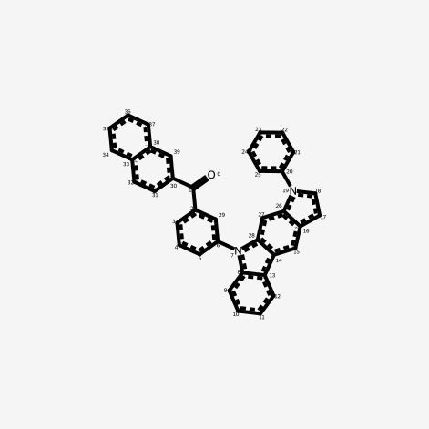 O=C(c1cccc(-n2c3ccccc3c3cc4ccn(-c5ccccc5)c4cc32)c1)c1ccc2ccccc2c1